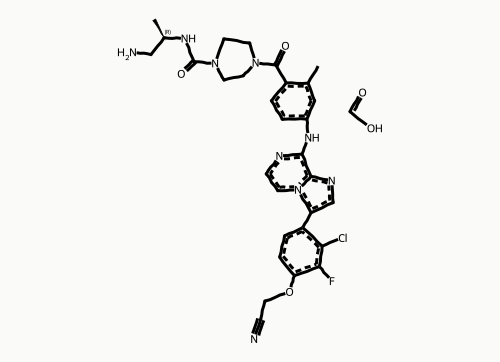 Cc1cc(Nc2nccn3c(-c4ccc(OCC#N)c(F)c4Cl)cnc23)ccc1C(=O)N1CCN(C(=O)N[C@H](C)CN)CC1.O=CO